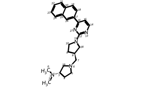 CN(C)[C@H]1CCN(C[C@H]2CCN(c3nccc(-c4ccc5ccccc5c4)n3)C2)C1